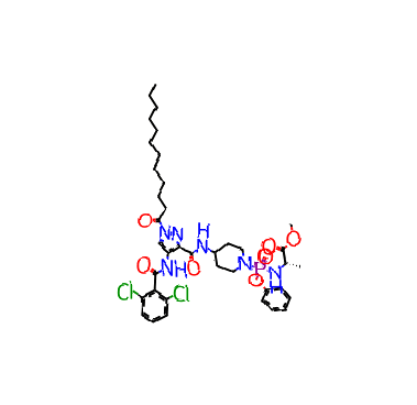 CCCCCCCCCCCC(=O)n1cc(NC(=O)c2c(Cl)cccc2Cl)c(C(=O)NC2CCN(P(=O)(N[C@@H](C)C(=O)OC)Oc3ccccc3)CC2)n1